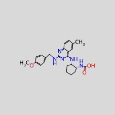 COc1ccc(CNc2nc(N[C@H]3CCCC[C@H]3NC(=O)O)c3cc(C)ccc3n2)cc1